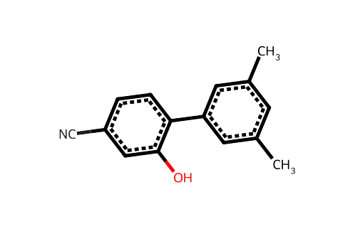 Cc1cc(C)cc(-c2ccc(C#N)cc2O)c1